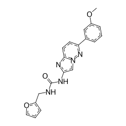 COc1cccc(-c2ccc3nc(NC(=O)NCc4ccco4)cn3n2)c1